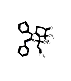 C=CCC(C#N)(C#N)C1=C([C@@H](/C=C/c2ccccc2)c2ccccc2)CCC(=O)C1(C)C